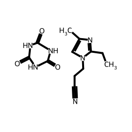 CCc1nc(C)cn1CCC#N.O=c1[nH]c(=O)[nH]c(=O)[nH]1